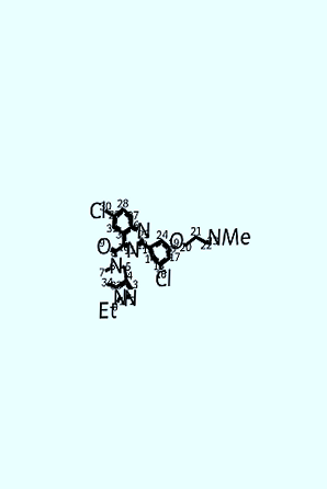 CCn1ncc(CN(C)C(=O)c2nc(-c3cc(Cl)cc(OCCCNC)c3)nc3ccc(Cl)cc23)c1C